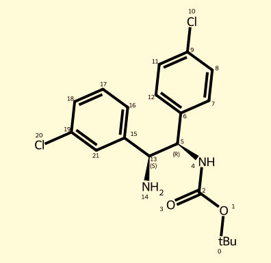 CC(C)(C)OC(=O)N[C@H](c1ccc(Cl)cc1)[C@@H](N)c1cccc(Cl)c1